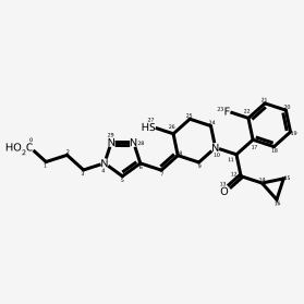 O=C(O)CCCn1cc(C=C2CN(C(C(=O)C3CC3)c3ccccc3F)CCC2S)nn1